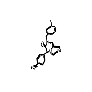 Cc1cccc(CN2Cc3cncn3C(c3ccc(C#N)cc3)C2=O)c1